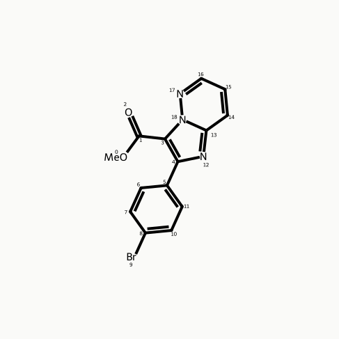 COC(=O)c1c(-c2ccc(Br)cc2)nc2cccnn12